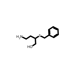 NCCC(CO)SCc1ccccc1